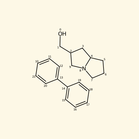 OCC1CC2CCCN2C1.c1ccc(-c2ccccc2)cc1